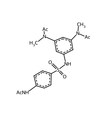 CC(=O)Nc1ccc(S(=O)(=O)Nc2cc(N(C)C(C)=O)cc(N(C)C(C)=O)c2)cc1